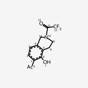 CC(=O)c1ccc2c(c1O)CCN(C(=O)C(F)(F)F)C2